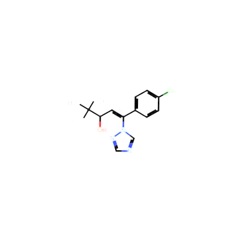 CC(C)(C)C(O)/C=C(/c1ccc(Cl)cc1)n1cncn1